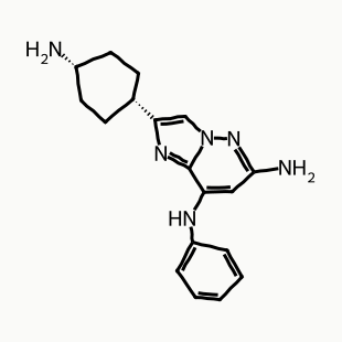 Nc1cc(Nc2ccccc2)c2nc([C@H]3CC[C@@H](N)CC3)cn2n1